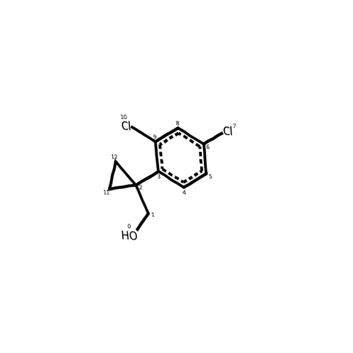 OCC1(c2ccc(Cl)cc2Cl)CC1